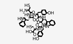 N[C@@H](CS)C(=O)N[C@@H](Cc1c[nH]c2ccccc12)C(=O)N[C@@H](Cc1ccc(O)cc1)C(=O)N[C@@H](Cc1c[nH]c2ccccc12)C(=O)N[C@@H](Cc1ccc(O)cc1)C(=O)N[C@@H](CS)C(=O)O